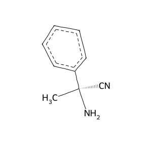 C[C@@](N)(C#N)c1ccccc1